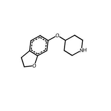 c1cc2c(cc1OC1CCNCC1)OCC2